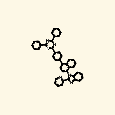 c1ccc(-c2nc(-c3ccccc3)nc(-c3ccc(-c4ccc(-n5c(-c6ccccn6)nc6ccccc65)c5ccccc45)cc3)n2)cc1